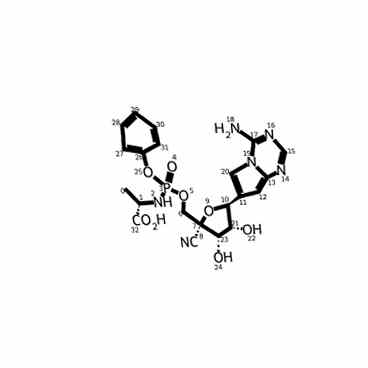 C[C@H](NP(=O)(OC[C@@]1(C#N)O[C@@H](c2cc3ncnc(N)n3c2)[C@H](O)[C@@H]1O)Oc1ccccc1)C(=O)O